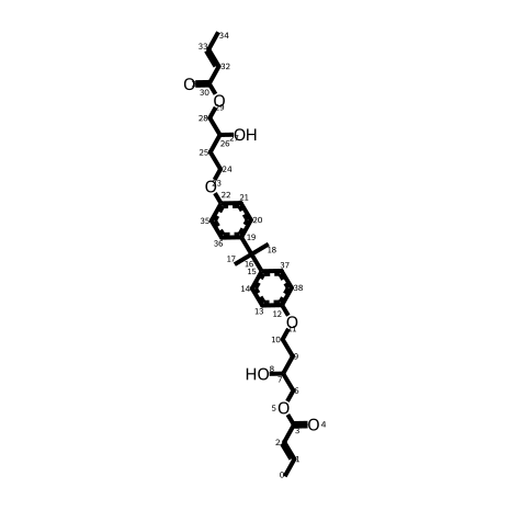 CC=CC(=O)OCC(O)CCOc1ccc(C(C)(C)c2ccc(OCCC(O)COC(=O)C=CC)cc2)cc1